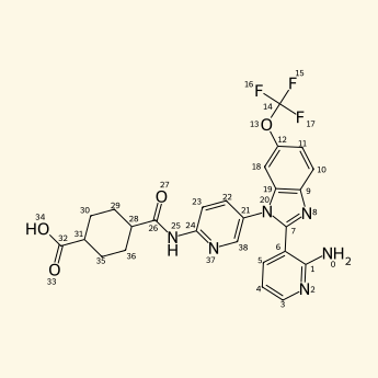 Nc1ncccc1-c1nc2ccc(OC(F)(F)F)cc2n1-c1ccc(NC(=O)C2CCC(C(=O)O)CC2)nc1